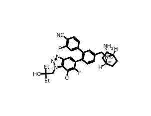 CCC(O)(CC)Cn1nnc2cc(-c3ccc(CN4[C@@H]5CC[C@H]4[C@@H](N)C5)cc3-c3ccc(C#N)c(F)c3)c(F)c(Cl)c21